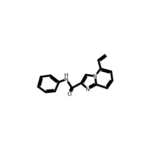 C=Cc1cccc2nc(C(=O)Nc3ccccc3)cn12